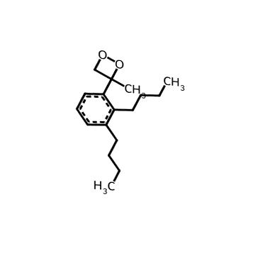 CCCCc1cccc(C2(C)COO2)c1CCCC